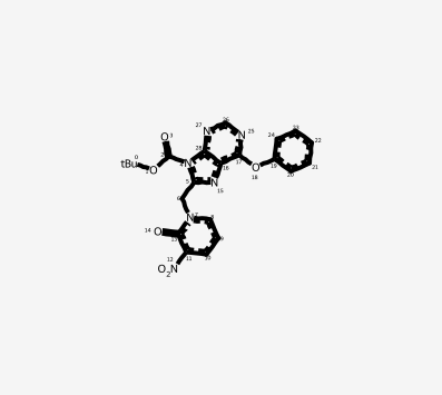 CC(C)(C)OC(=O)n1c(Cn2cccc([N+](=O)[O-])c2=O)nc2c(Oc3ccccc3)ncnc21